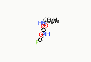 COC[C@@H](NC(=O)Oc1ccc(NC(=O)Cc2ccc(F)cc2)cc1)C(=O)O